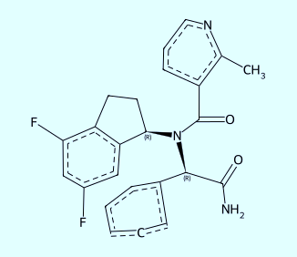 Cc1ncccc1C(=O)N([C@@H]1CCc2c(F)cc(F)cc21)[C@@H](C(N)=O)c1ccccc1